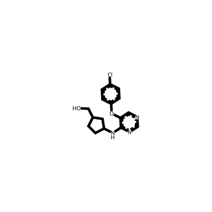 OCC1CCC(Nc2ncncc2Oc2ccc(Cl)cc2)C1